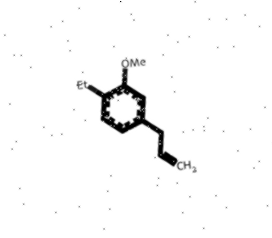 C=CCc1ccc(CC)c(OC)c1